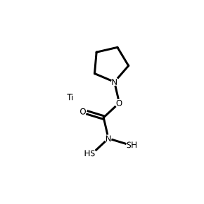 O=C(ON1CCCC1)N(S)S.[Ti]